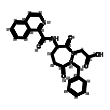 O=C(O)CN1C(=O)C(NC(=O)c2nccc3ccccc23)CCC(=O)N1Cc1ccccc1